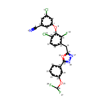 N#Cc1cc(Cl)cc(Oc2c(Cl)ccc(Cc3nnc(-c4cccc(OC(F)F)c4)o3)c2F)c1